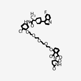 C[C@@H](C(=O)Nc1ccc(Cl)c(OCCOCCOCCOCCOc2cccc3c2C(=O)N(C2CCC(=O)NC2=O)C3=O)c1)[C@@H]1CC=C(c2ccnc3ccc(F)cc23)CC1